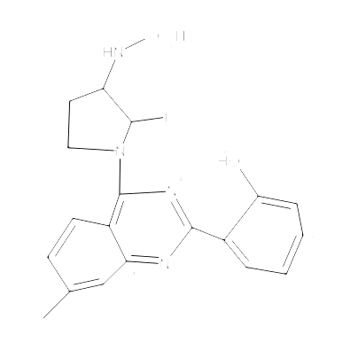 Cc1ccc2c(N3CCC(NC(=O)O)C3I)nc(-c3ccccc3O)nc2c1